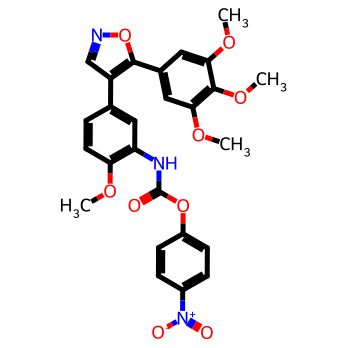 COc1ccc(-c2cnoc2-c2cc(OC)c(OC)c(OC)c2)cc1NC(=O)Oc1ccc([N+](=O)[O-])cc1